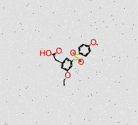 CCOc1cc(CC(=O)O)cc(S(=O)(=O)c2ccc(OC)cc2)c1